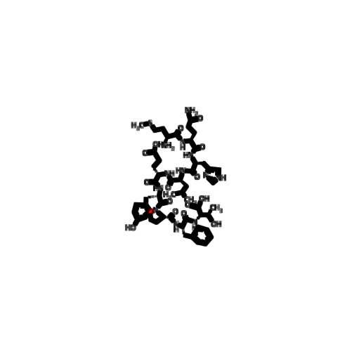 CSCC[C@H](N)C(=O)N[C@@H](CCC(N)=O)C(=O)N[C@@H](Cc1c[nH]cn1)C(=O)N[C@@H](CC(C)C)C(=O)N[C@@H](CCC(=O)O)C(=O)N[C@@H](Cc1ccc(O)cc1)C(=O)N1CCC[C@H]1C(=O)N[C@@H](Cc1ccccc1)C(=O)N[C@H](C(=O)O)[C@@H](C)O